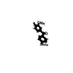 COc1cc(C(=O)c2ccc(SC)cc2)ccc1C